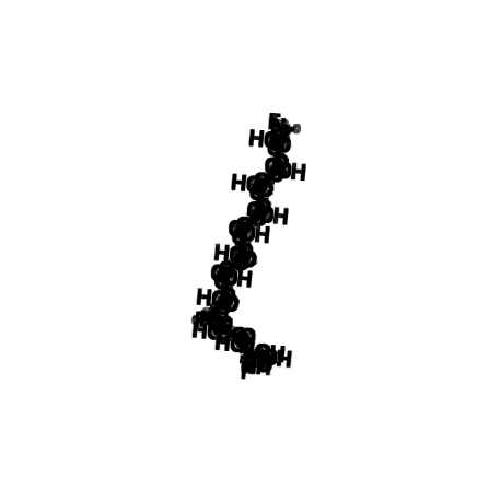 CC(CNF)COP(=O)(O)OCCOP(=O)(O)OCCOP(=O)(O)OCCOP(=O)(O)OCCOP(=O)(O)OCCOP(=O)(O)OCCOP(=O)(O)OCCOP(=O)(O)OCC(CNF)COP(=O)(O)OCCOP(=O)(O)OCC(CNF)COP(=O)(O)O